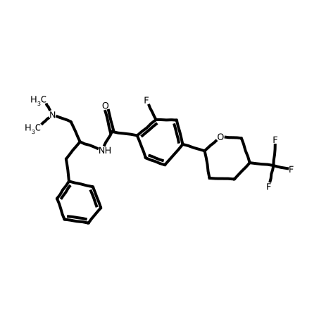 CN(C)CC(Cc1ccccc1)NC(=O)c1ccc(C2CCC(C(F)(F)F)CO2)cc1F